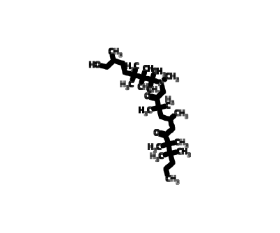 CCCC(C)(C)C(C)(C)C(=O)CC(C)CC(C)(C)C(=O)CN(C)C(C)(C)C(C)(C)C(C)(C)CCC(C)CO